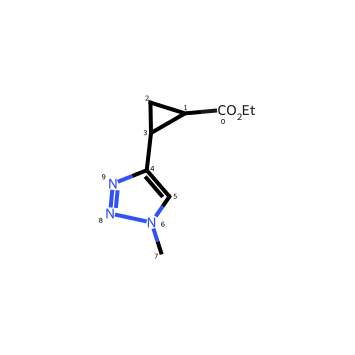 CCOC(=O)C1CC1c1cn(C)nn1